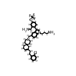 NCCCn1cc(-c2ccc(OC(F)(F)F)cc2CN)c2cc(CN3CCC4(CCC=C(CCc5ccccc5Cl)C4)CC3)ccc21